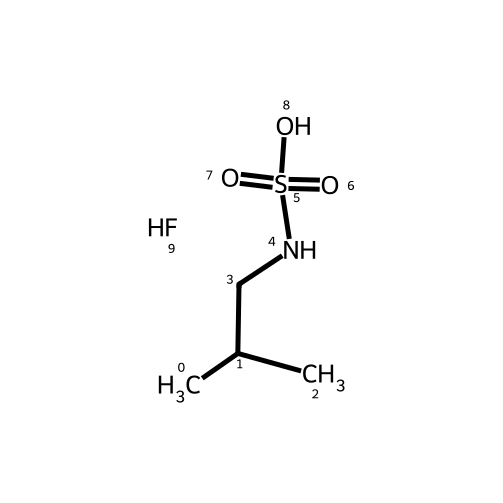 CC(C)CNS(=O)(=O)O.F